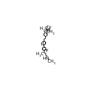 CCNCCCC(C)c1ccc(-c2ccc(CCC3CCN(CC(C)(C)C(F)(F)F)CC3)cn2)cc1F